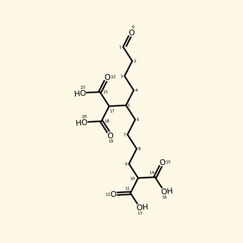 O=CCCCC(CCCCC(C(=O)O)C(=O)O)C(C(=O)O)C(=O)O